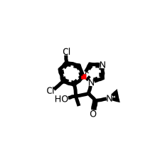 CC(O)(c1ccc(Cl)cc1Cl)C(C(=O)N1CC1)n1cncn1